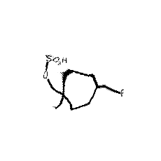 CC1(OS(=O)(=O)O)CCC(F)CC1